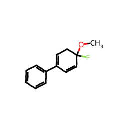 COC1(F)C=CC(c2ccccc2)=CC1